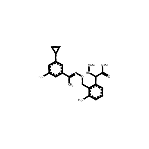 CNC(=O)C(NOC)c1cccc(C)c1CO/N=C(\C)c1cc(C2CC2)cc(C(F)(F)F)c1